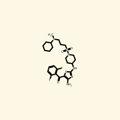 CN(CCCS(=O)(=O)N1CCC(Nc2nc(N)c(C(=O)c3c(F)cccc3F)s2)CC1)C1CCCCC1